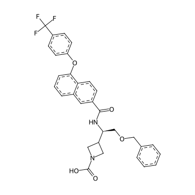 O=C(N[C@@H](COCc1ccccc1)C1CN(C(=O)O)C1)c1ccc2c(Oc3ccc(C(F)(F)F)cc3)cccc2c1